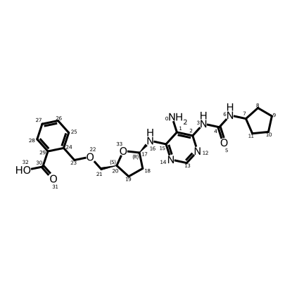 Nc1c(NC(=O)NC2CCCC2)ncnc1N[C@H]1CC[C@@H](COCc2ccccc2C(=O)O)O1